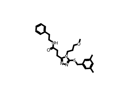 COCCCn1c(CCC(=O)NCCc2ccccc2)nnc1SCc1cc(C)cc(C)c1